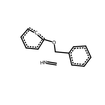 C=N.c1ccc(COc2ccccc2)cc1